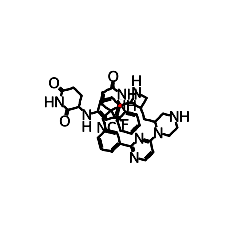 N#CC1(C2(Cc3cccc(-c4nccc(N5CCNCC5CC5CNC5c5ccc(NC6CCC(=O)NC6=O)cc5F)n4)c3)C=CC(=O)NN2)C=CC=CC1